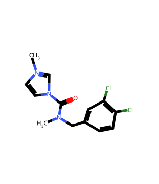 CN(Cc1ccc(Cl)c(Cl)c1)C(=O)n1cc[n+](C)c1